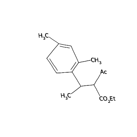 CCOC(=O)C(C(C)=O)C(C)c1ccc(C)cc1C